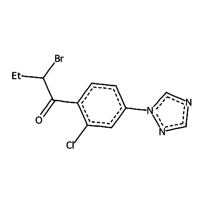 CCC(Br)C(=O)c1ccc(-n2cncn2)cc1Cl